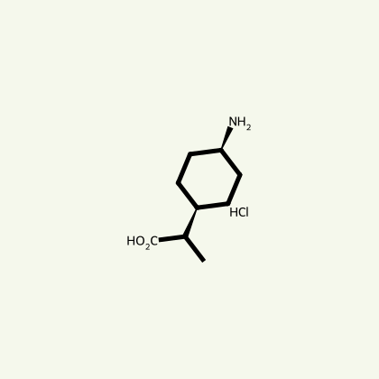 CC(C(=O)O)[C@H]1CC[C@@H](N)CC1.Cl